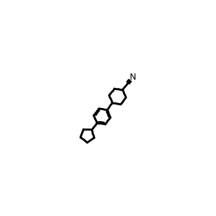 N#CC1CCC(c2ccc(C3CCCC3)cc2)CC1